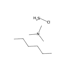 CCCCCC.CN(C)C.[SiH3]Cl